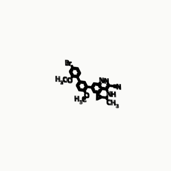 COc1cc(Br)ccc1-c1ccc(OC)c(-c2ccc3c(NC(C)C4CC4)c(C#N)nnc3c2)c1